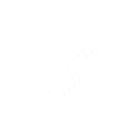 CCN(CC)CCc1ccc(Nc2ncc3c(n2)N(C)C(=O)N(c2cc(NC(=O)c4cccc(C(F)(F)F)c4)ccc2C)C3)cn1